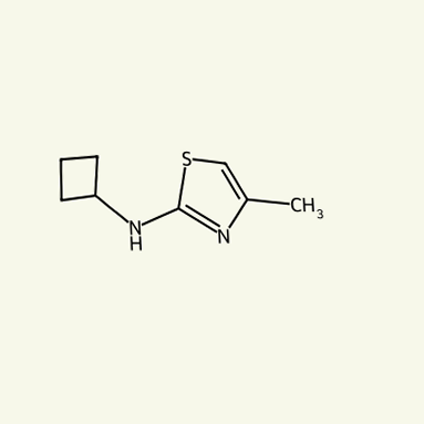 Cc1csc(NC2CCC2)n1